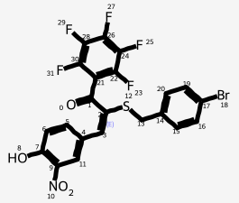 O=C(/C(=C\c1ccc(O)c([N+](=O)[O-])c1)SCc1ccc(Br)cc1)c1c(F)c(F)c(F)c(F)c1F